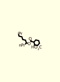 CCCC(CCCCC(C)C)OC(=O)C1CCCCC1C(=O)O